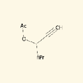 C#CC(CCC)OC(C)=O